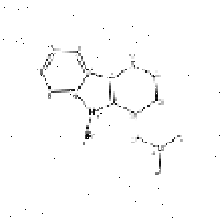 CC(C)n1c2c(c3ccccc31)SCCC2CN(C)C